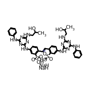 CC(O)CNc1nc(Nc2ccccc2)nc(Nc2ccc(/C=C/c3ccc(Nc4nc(NCC(C)O)nc(Nc5ccccc5)n4)cc3S(=O)(=O)O)c(S(=O)(=O)O)c2)n1.[NaH].[NaH]